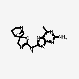 Cc1nc(N)nc2sc(N(C)C3=NCC4(CN5CCC4CC5)O3)nc12